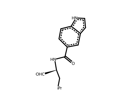 CC(C)C[C@@H]([C]=O)NC(=O)c1ccc2[nH]ccc2c1